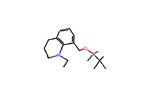 CCN1CCCc2cccc(CO[Si](C)(C)C(C)(C)C)c21